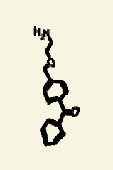 NCCOCc1ccc(C(=O)c2ccccc2)cc1